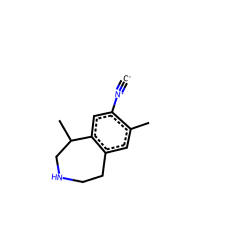 [C-]#[N+]c1cc2c(cc1C)CCNCC2C